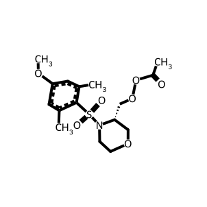 COc1cc(C)c(S(=O)(=O)N2CCOC[C@H]2COOC(C)=O)c(C)c1